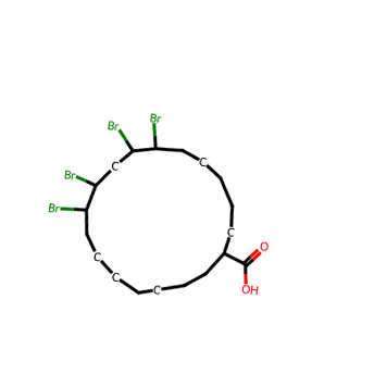 O=C(O)C1CCCCCCCC(Br)C(Br)CC(Br)C(Br)CCCCC1